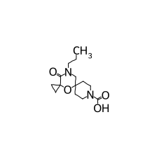 CCCN1CC2(CCN(C(=O)O)CC2)OC2(CC2)C1=O